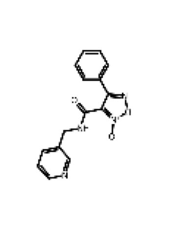 O=C(NCc1cccnc1)c1c(-c2ccccc2)no[n+]1[O-]